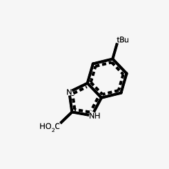 CC(C)(C)c1ccc2[nH]c(C(=O)O)nc2c1